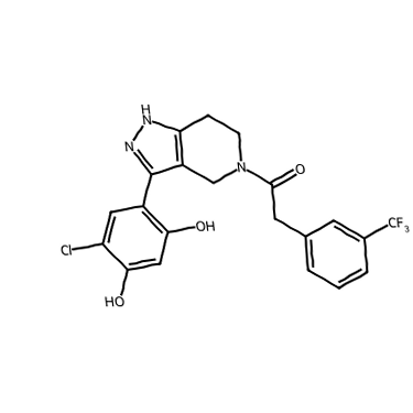 O=C(Cc1cccc(C(F)(F)F)c1)N1CCc2[nH]nc(-c3cc(Cl)c(O)cc3O)c2C1